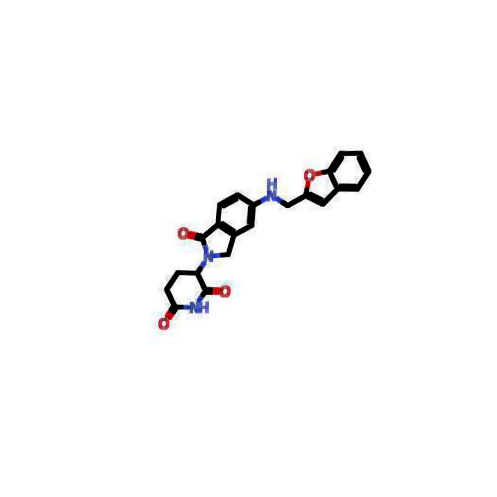 O=C1CCC(N2Cc3cc(NCc4cc5ccccc5o4)ccc3C2=O)C(=O)N1